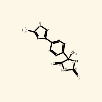 Cc1nc(-c2ccc([C@]3(C)NC(=O)NC3=O)cc2)cs1